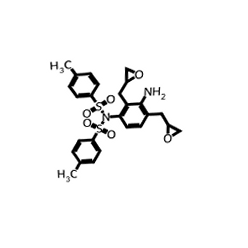 Cc1ccc(S(=O)(=O)N(c2ccc(CC3CO3)c(N)c2CC2CO2)S(=O)(=O)c2ccc(C)cc2)cc1